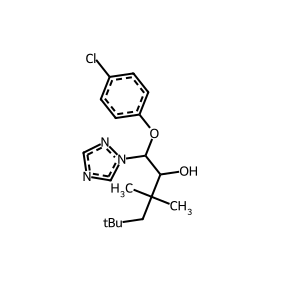 CC(C)(C)CC(C)(C)C(O)C(Oc1ccc(Cl)cc1)n1cncn1